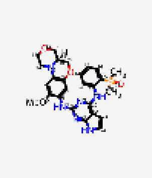 COc1cc2c(cc1Nc1nc(Nc3ccccc3P(C)(C)=O)c3cc[nH]c3n1)OC[C@@H]1COCCN21